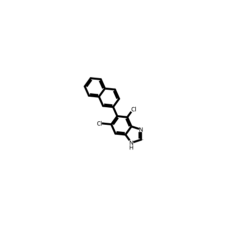 Clc1cc2[nH][c]nc2c(Cl)c1-c1ccc2ccccc2c1